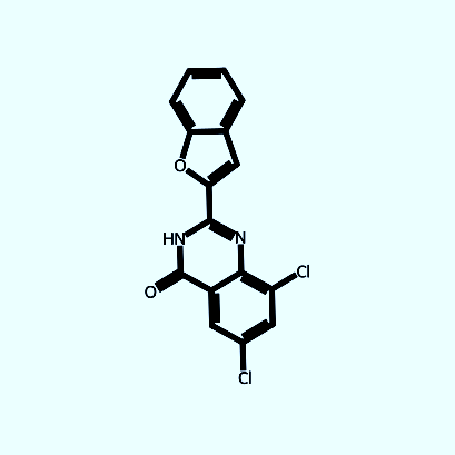 O=c1[nH]c(-c2cc3ccccc3o2)nc2c(Cl)cc(Cl)cc12